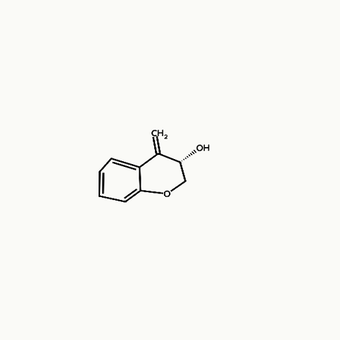 C=C1c2ccccc2OC[C@H]1O